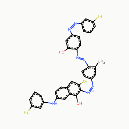 Cc1cc(/N=N\c2c(S)cc3ccc(Nc4cccc(S)c4)cc3c2O)ccc1N=Nc1ccc(/N=N\c2cccc(S)c2)cc1O